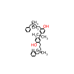 CC(C)(c1ccc(O)c(CCC[Si](C)(C)Cc2ccccc2)c1)c1ccc(O)c(CCC[Si](C)(C)Cc2ccccc2)c1